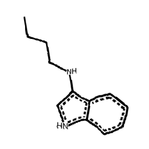 CCCCNc1c[nH]c2ccccc12